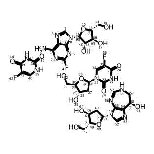 Nc1nc(F)nc2c1ncn2[C@@H]1O[C@H](CO)[C@@H](O)[C@@H]1O.O=c1[nH]c(=O)n([C@H]2C[C@H](O)[C@@H](CO)O2)cc1F.O=c1[nH]cc(F)c(=O)[nH]1.OC[C@H]1O[C@@H](n2cnc3c2N=CNC[C@H]3O)C[C@@H]1O